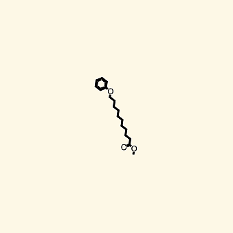 COC(=O)CCCCCCCCCCOc1ccccc1